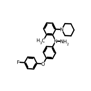 Cc1cccc(N2CCCCC2)c1N(N)c1ccc(Oc2ccc(F)cc2)cc1